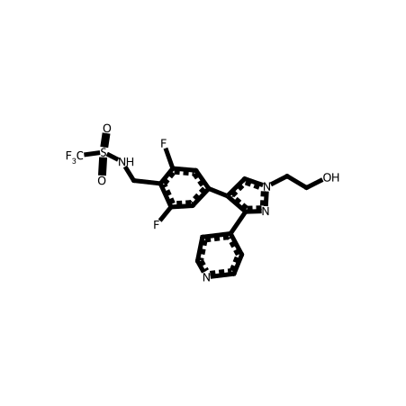 O=S(=O)(NCc1c(F)cc(-c2cn(CCO)nc2-c2ccncc2)cc1F)C(F)(F)F